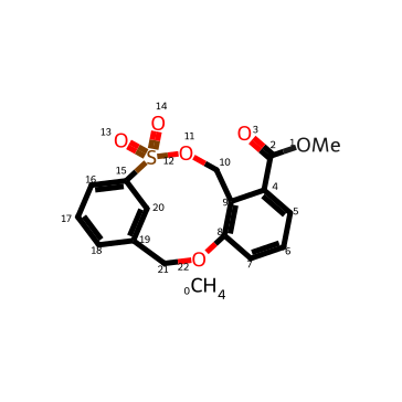 C.COC(=O)c1cccc2c1COS(=O)(=O)c1cccc(c1)CO2